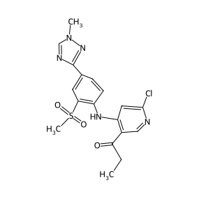 CCC(=O)c1cnc(Cl)cc1Nc1ccc(-c2ncn(C)n2)cc1S(C)(=O)=O